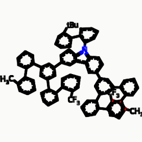 Cc1ccccc1-c1ccccc1-c1cc(-c2ccc3c(c2)c2cc(-c4cc(-c5ccccc5-c5ccccc5C)cc(-c5ccccc5-c5ccccc5C(F)(F)F)c4)ccc2n3-c2ccccc2-c2ccccc2C(C)(C)C)cc(-c2ccccc2-c2ccccc2C(F)(F)F)c1